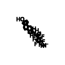 CC12CCC3c4ccc(O)cc4CCC3C1CCC2NNC(=O)c1c(F)c(F)c(N=[N+]=[N-])c(F)c1F